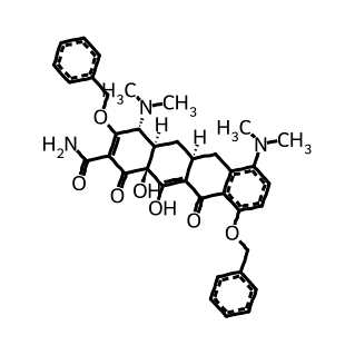 CN(C)c1ccc(OCc2ccccc2)c2c1C[C@@H]1C[C@@H]3[C@@H](N(C)C)C(OCc4ccccc4)=C(C(N)=O)C(=O)[C@@]3(O)C(O)=C1C2=O